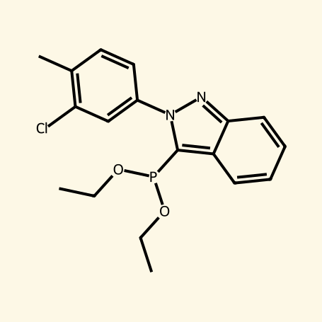 CCOP(OCC)c1c2ccccc2nn1-c1ccc(C)c(Cl)c1